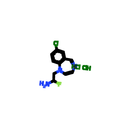 Cl.Cl.NC(F)CN1C=CN=Cc2cc(Cl)ccc21